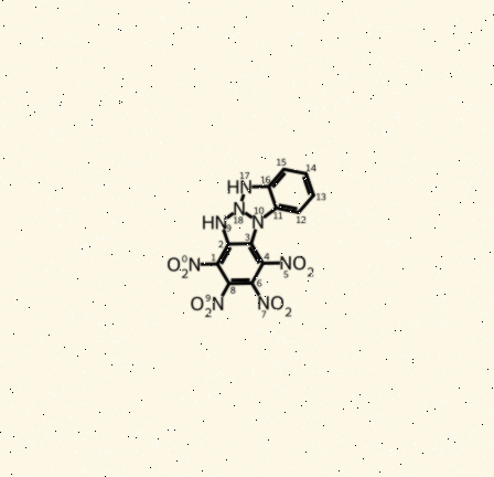 O=[N+]([O-])c1c2c(c([N+](=O)[O-])c([N+](=O)[O-])c1[N+](=O)[O-])N1c3ccccc3NN1N2